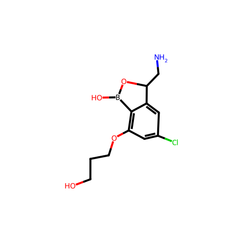 NCC1OB(O)c2c(OCCCO)cc(Cl)cc21